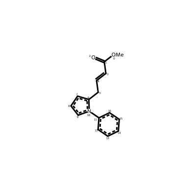 COC(=O)C=CCc1cccn1-c1ccccc1